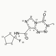 Cn1nnc2c(C(=O)NC3(F)CCCC3)ncn2c1=O